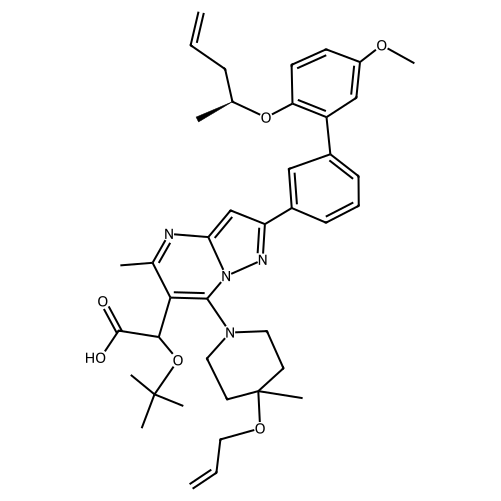 C=CCOC1(C)CCN(c2c(C(OC(C)(C)C)C(=O)O)c(C)nc3cc(-c4cccc(-c5cc(OC)ccc5O[C@@H](C)CC=C)c4)nn23)CC1